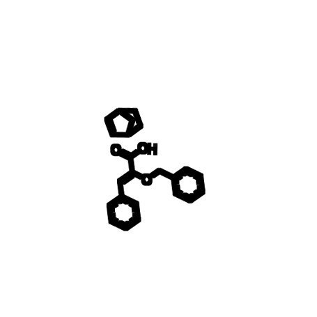 C1=CC2CCC1C2.O=C(O)C(=Cc1ccccc1)OCc1ccccc1